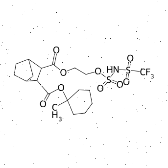 CC1(OC(=O)C2C3CCC(C3)C2C(=O)OCCOS(=O)(=O)NS(=O)(=O)C(F)(F)F)CCCCC1